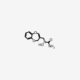 NC(=O)N(O)CC1=COc2ccccc2OC1